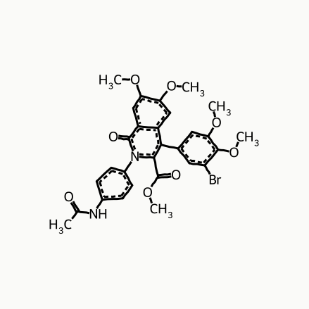 COC(=O)c1c(-c2cc(Br)c(OC)c(OC)c2)c2cc(OC)c(OC)cc2c(=O)n1-c1ccc(NC(C)=O)cc1